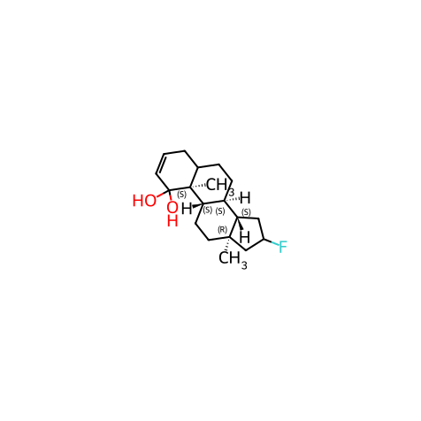 C[C@]12CC[C@H]3[C@@H](CCC4CC=CC(O)(O)[C@@]43C)[C@@H]1CC(F)C2